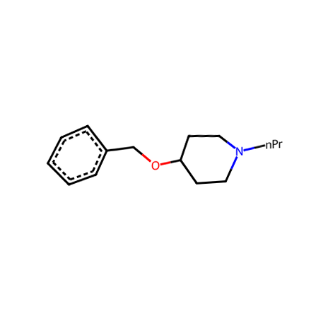 CCCN1CCC(OCc2ccccc2)CC1